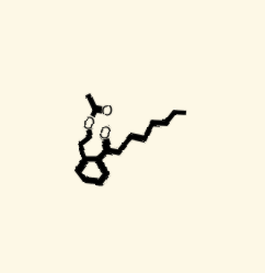 CCCCCCCC(=O)c1ccccc1CCOC(C)=O